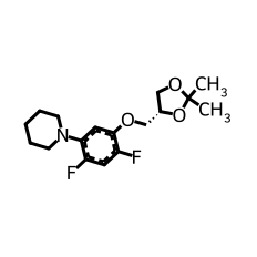 CC1(C)OC[C@@H](COc2cc(N3CCCCC3)c(F)cc2F)O1